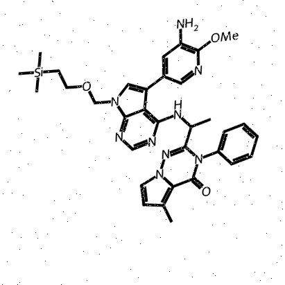 COc1ncc(-c2cn(COCC[Si](C)(C)C)c3ncnc(NC(C)c4nn5ccc(C)c5c(=O)n4-c4ccccc4)c23)cc1N